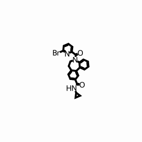 O=C(NC1CC1)c1ccc2c(c1)-c1ccccc1N(C(=O)c1cccc(Br)n1)CC2